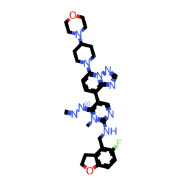 C=N/N=c1/c(-c2ccc(N3CCC(N4CCOCC4)CC3)n3ncnc23)cnc(NCc2c(F)ccc3c2CCO3)n1C